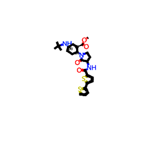 COC(=O)[C@@H]1C[C@H](NC(C)(C)C)CC[C@@H]1N1CCC(NC(=O)c2ccc(-c3cccs3)s2)C1=O